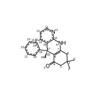 CC1(C)CC(=O)C2=C(C1)Nc1nccc(F)c1[C@@]2(C)c1ccccc1